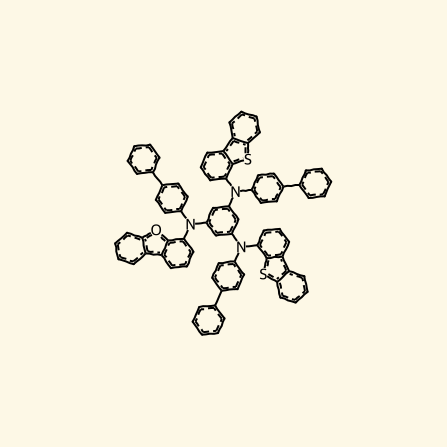 c1ccc(-c2ccc(N(c3cc(N(c4ccc(-c5ccccc5)cc4)c4cccc5c4sc4ccccc45)cc(N(c4ccc(-c5ccccc5)cc4)c4cccc5c4sc4ccccc45)c3)c3cccc4c3oc3ccccc34)cc2)cc1